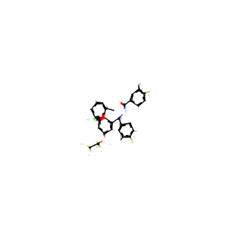 COc1cc([C@](Cc2ccccc2)(NC(=O)c2ccc(F)c(C(F)(F)F)c2)c2cc(F)cc(OC(F)(F)C(F)F)c2)ccc1F